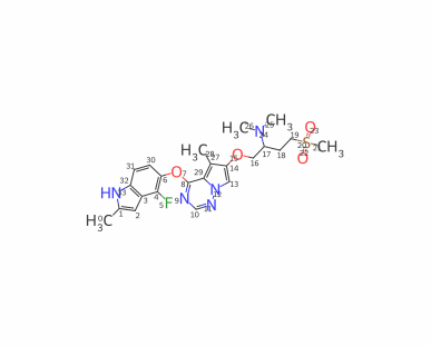 Cc1cc2c(F)c(Oc3ncnn4cc(OCC(CCS(C)(=O)=O)N(C)C)c(C)c34)ccc2[nH]1